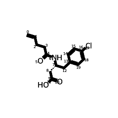 C=CCCC(=O)N[C@@H](CC(=O)O)Cc1ccc(Cl)cc1